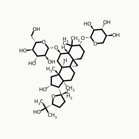 CC(C)(O)[C@H]1CC[C@@](C)([C@@H]2[C@H](O)C[C@]3(C)[C@H]4C[C@@H](O[C@H]5O[C@@H](CO)[C@H](O)[C@@H](O)[C@@H]5O)[C@@H]5C(C)(C)[C@H](O[C@H]6OC[C@H](O)[C@@H](O)[C@@H]6O)CC[C@]56C[C@]46CC[C@@]23C)O1